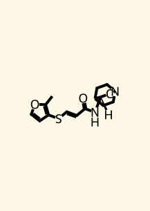 Cc1occc1SC=CC(=O)N[C@H]1CN2CCC1CC2